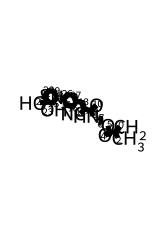 C=C(C)C(=O)OCCNC(=O)/C(C#N)=C/c1ccc(N2CCSC(O)(O)C2)cc1